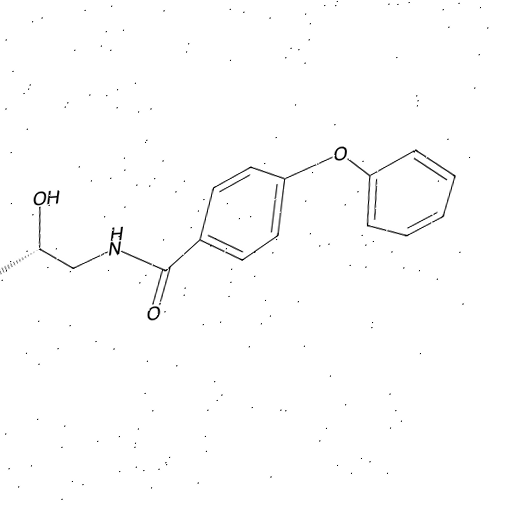 C[C@H](O)CNC(=O)c1ccc(Oc2ccccc2)cc1